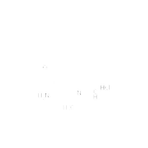 CN(C)C(C(N)=O)c1ccccc1.Cl